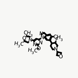 COc1nc(N2C[C@H](C)O[C@@H](C)C2)cc(-n2ncc3cc(C)c(C4CCN(C5COC5)CC4F)cc32)n1